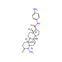 CN1C(=O)CC[C@]2(C)[C@H]3CC[C@]4(C)[C@@H](C(=O)Nc5ccc(N)cc5)CC[C@H]4[C@@H]3CC[C@@H]12